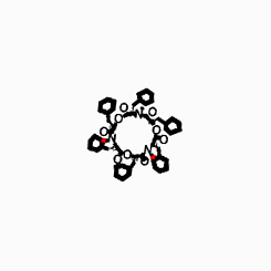 CN1C(=O)[C@@H](Cc2ccccc2)OC(=O)[C@H](Cc2ccccc2)N(C)C(=O)[C@@H](Cc2ccccc2)OC(=O)[C@H](Cc2ccccc2)N(C)C(=O)[C@@H](Cc2ccccc2)OC(=O)[C@@H]1Cc1ccccc1